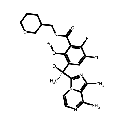 Cc1nc([C@@](C)(O)c2cc(Cl)c(F)c(C(=O)NCC3CCCOC3)c2OC(C)C)n2ccnc(N)c12